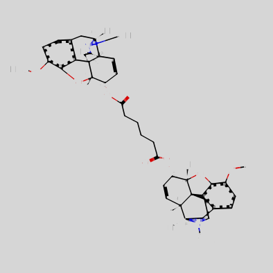 COc1ccc2c3c1O[C@H]1[C@@H](OC(=O)CCCCC(=O)O[C@H]4C=C[C@H]5[C@H]6Cc7ccc(OC)c8c7[C@@]5(CCN6C)[C@H]4O8)C=C[C@H]4[C@@H](C2)N(C)CCC341